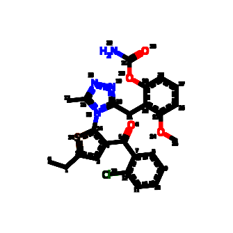 CCc1cc(C(=O)c2ccccc2Cl)c(-n2c(C)nnc2Cc2c(OC)cccc2OC(N)=O)s1